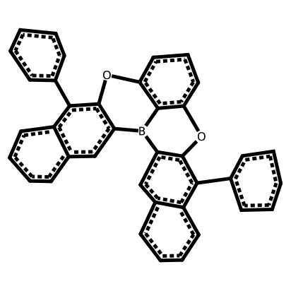 c1ccc(-c2c3c(cc4ccccc24)B2c4cc5ccccc5c(-c5ccccc5)c4Oc4cccc(c42)O3)cc1